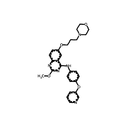 COc1nc(Nc2ccc(Oc3cccnc3)cc2)c2cc(OCCCN3CCOCC3)ccc2n1